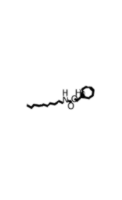 CCCCCCCCCCNC(=O)OCC1C2CCC#CCC[C@@H]21